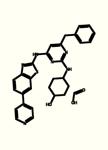 O=CO.OC1CCC(Nc2nc(Cc3ccccc3)cc(Nc3nc4ccc(-c5ccncc5)cc4s3)n2)CC1